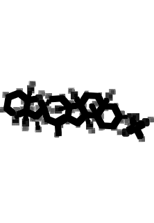 CC1=C2C[C@H]3[C@@H](CC[C@@H]4C[C@H](NS(C)(=O)=O)CC[C@@]43C)[C@@H]2CC[C@@]2(C1)O[C@@H]1CCCN[C@H]1[C@H]2C